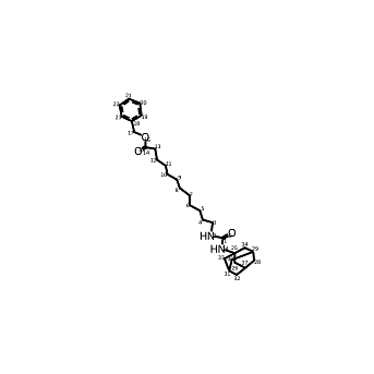 O=C(NCCCCCCCCCCCC(=O)OCc1ccccc1)NC12CC3CC(CC(C3)C1)C2